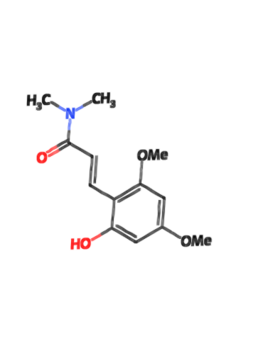 COc1cc(O)c(C=CC(=O)N(C)C)c(OC)c1